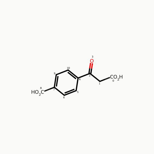 O=C(O)CC(=O)c1ccc(C(=O)O)cc1